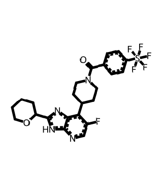 O=C(c1ccc(S(F)(F)(F)(F)F)cc1)N1CCC(c2c(F)cnc3[nH]c(C4CCCCO4)nc23)CC1